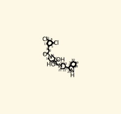 O=C(C=Cc1cc(Cl)cc(Cl)c1)N1CCC(O)(C(O)CN2CCC(c3c[nH]c4ccccc34)CC2)CC1